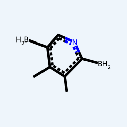 Bc1cnc(B)c(C)c1C